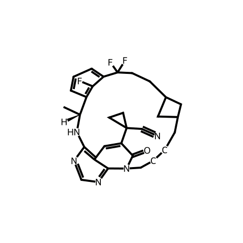 C[C@H]1Nc2ncnc3c2cc(C2(C#N)CC2)c(=O)n3CCCCC2CC(CCC(F)(F)c3cccc1c3F)C2